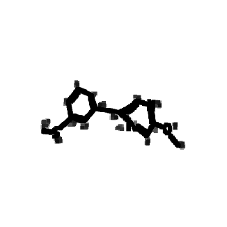 COc1cnc(-c2cccc(SC)c2)cn1